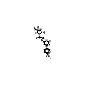 O=C(NCc1cc(-c2ccc(C(F)(F)F)nc2)ncn1)[C@@H]1CC(F)(CF)CN1